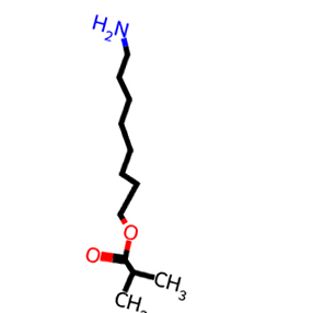 CC(C)C(=O)OCCCCCCCCN